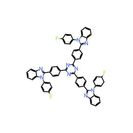 Fc1ccc(-n2c(-c3ccc(-c4nc(-c5ccc(-c6nc7ccccc7n6C6=CCC(F)C=C6)cc5)nc(-c5ccc(-c6nc7ccccc7n6-c6ccc(F)cc6)cc5)n4)cc3)nc3ccccc32)cc1